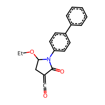 CCOC1CC(=C=O)C(=O)N1c1ccc(-c2ccccc2)cc1